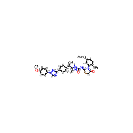 COc1ccc(C(C)C)c(N2C(=O)CS/C2=N\C(=O)N/C(C)=C(\C)c2ccc(-c3ncn(-c4ccc(OC(F)(F)F)cc4)n3)cc2)c1